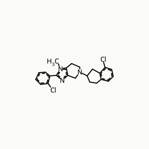 Cn1c(-c2ccccc2Cl)nc2c1CCN(C1CCc3cccc(Cl)c3C1)C2